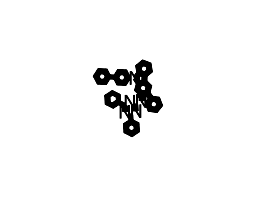 C1=CCCC(c2nc(-c3ccccc3)nc(-n3c4ccccc4c4cc5c6ccccc6n(-c6ccc(-c7ccccc7)cc6)c5cc43)n2)=C1